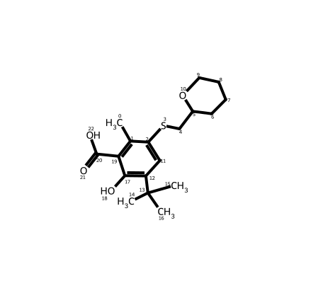 Cc1c(SCC2CCCCO2)cc(C(C)(C)C)c(O)c1C(=O)O